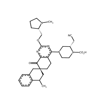 CC1C[C@@]2(CCc3c(nc(OC[C@@H]4CCCN4C)nc3N3CCN(C(=O)O)[C@@H](CC#N)C3)C2=O)Cc2ccccc21